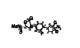 CN=[S@@]1(=O)CC[C@@H](c2ccc(N3C[C@H](C(=O)NC)OC3=O)cc2F)CC1=O